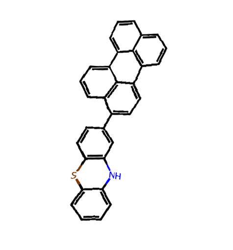 c1ccc2c(c1)Nc1cc(-c3ccc4c5cccc6cccc(c7cccc3c74)c65)ccc1S2